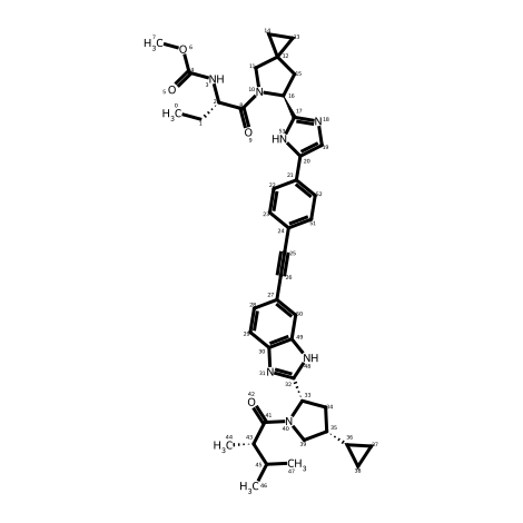 CC[C@H](NC(=O)OC)C(=O)N1CC2(CC2)C[C@H]1c1ncc(-c2ccc(C#Cc3ccc4nc([C@@H]5C[C@H](C6CC6)CN5C(=O)[C@@H](C)C(C)C)[nH]c4c3)cc2)[nH]1